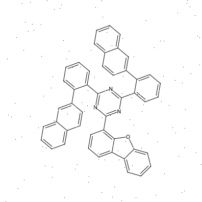 c1ccc(-c2nc(-c3ccccc3-c3ccc4ccccc4c3)nc(-c3cccc4c3oc3ccccc34)n2)c(-c2ccc3ccccc3c2)c1